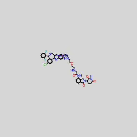 N/C=N/C=C1/CN=C(c2c(F)cccc2F)c2cc(Cl)ccc2/C1=N/c1ccc(/C=C\NCCOCCNCC(=O)Nc2cccc3c2CN(C2CCC(=O)NC2=O)C3=O)cc1